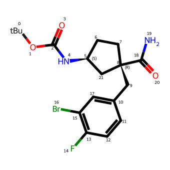 CC(C)(C)OC(=O)N[C@H]1CC[C@](Cc2ccc(F)c(Br)c2)(C(N)=O)C1